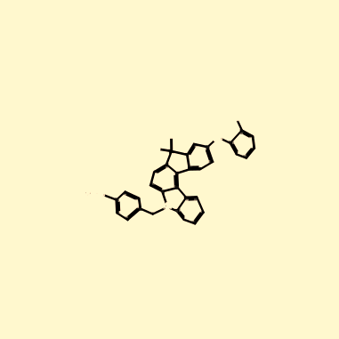 COc1ccc(Cn2c3ccccc3c3c4c(ccc32)C(C)(C)c2cc(Oc3ccccc3Cl)ccc2-4)cc1